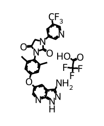 Cc1cc(Oc2cnc3[nH]nc(N)c3c2)cc(C)c1N1C(=O)CN(c2cncc(C(F)(F)F)c2)C1=O.O=C(O)C(F)(F)F